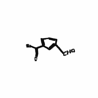 CC(C)(C)C(=O)c1cccc(C=O)c1